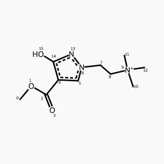 COC(=O)c1cn(CC[N+](C)(C)C)nc1O